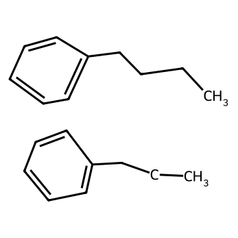 CCCCc1ccccc1.CCCc1ccccc1